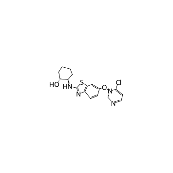 O[C@@H]1CCCC[C@H]1Nc1nc2ccc(ON3CN=CC=C3Cl)cc2s1